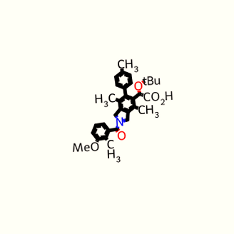 COc1cccc(C(=O)N2Cc3c(C)c(-c4ccc(C)cc4)c(C(OC(C)(C)C)C(=O)O)c(C)c3C2)c1C